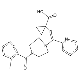 Cc1ccccc1C(=O)N1CCN(C(=NC2(C(=O)O)CC2)c2ccccn2)CC1